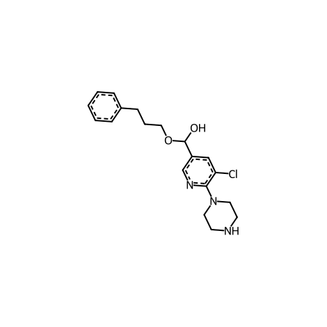 OC(OCCCc1ccccc1)c1cnc(N2CCNCC2)c(Cl)c1